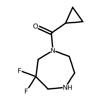 O=C(C1CC1)N1CCNCC(F)(F)C1